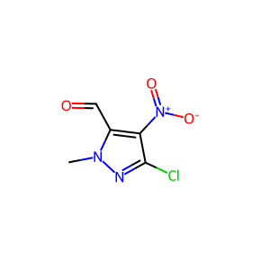 Cn1nc(Cl)c([N+](=O)[O-])c1C=O